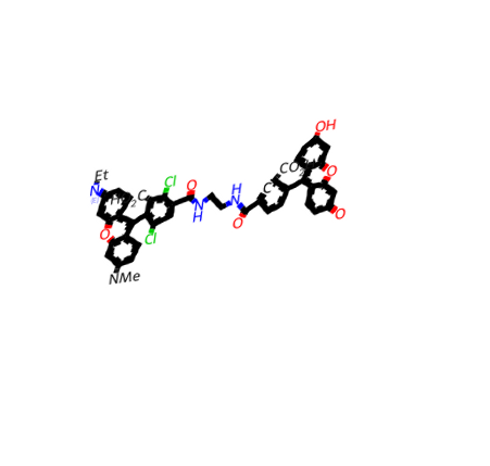 CC/N=c1\ccc2c(-c3c(Cl)cc(C(=O)NCCNC(=O)c4ccc(-c5c6ccc(=O)cc-6oc6cc(O)ccc56)c(C(=O)O)c4)c(Cl)c3C(=O)O)c3ccc(NC)cc3oc-2c1